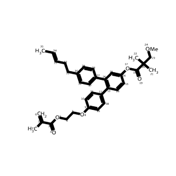 C=C(C)C(=O)OCCOc1ccc(-c2ccc(OC(=O)C(C)(C)COC)cc2-c2ccc(CC/C=C/C)cc2)cc1